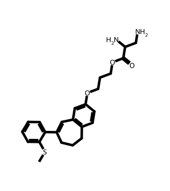 CSc1ccccc1C1=Cc2cc(OCCCOC(=O)C(N)CN)ccc2CCC1